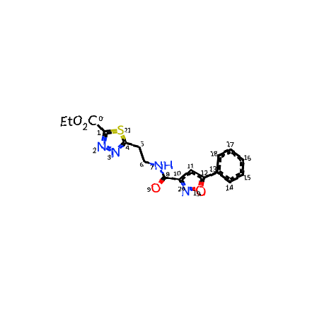 CCOC(=O)c1nnc(CCNC(=O)c2cc(-c3ccccc3)on2)s1